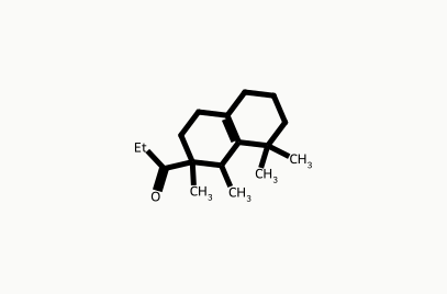 CCC(=O)C1(C)CCC2=C(C1C)C(C)(C)CCC2